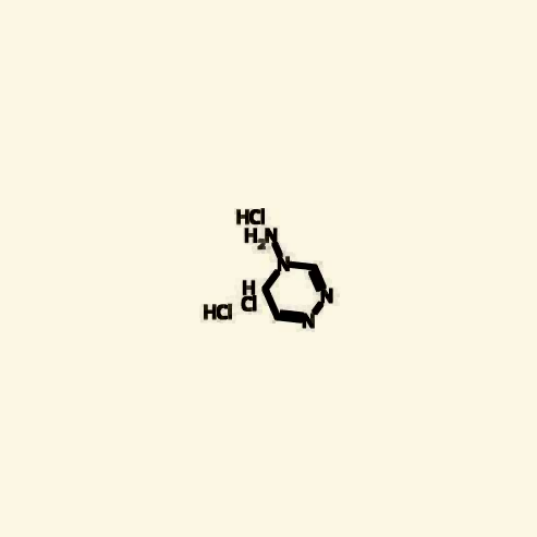 Cl.Cl.Cl.NN1C=NN=CC1